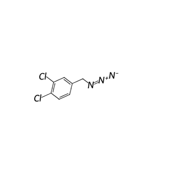 [N-]=[N+]=NCc1ccc(Cl)c(Cl)c1